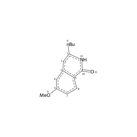 CCCCc1cc2cc(OC)ccc2c(=O)[nH]1